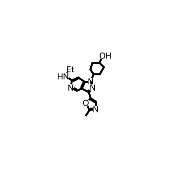 CCNc1cc2c(cn1)c(-c1cnc(C)o1)nn2C1CCC(O)CC1